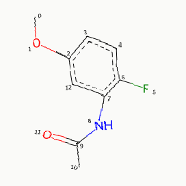 COc1ccc(F)c(NC(C)=O)c1